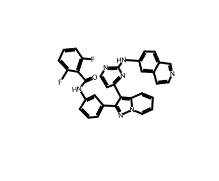 O=C(Nc1cccc(-c2nn3ccccc3c2-c2ccnc(Nc3ccc4cnccc4c3)n2)c1)c1c(F)cccc1F